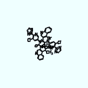 COC(C)c1c(NC(=O)N(c2cnc(-n3nccn3)c(Cl)c2)N(C(=O)Nc2cnc(-n3nccn3)c(Cl)c2)c2cnc3ccccc3c2Br)cnc2ccccc12